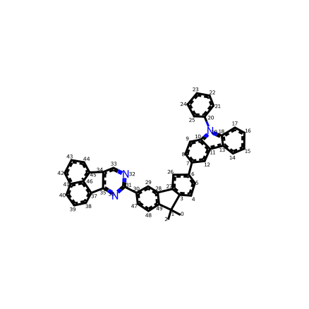 CC1(C)c2ccc(-c3ccc4c(c3)c3ccccc3n4-c3ccccc3)cc2-c2cc(-c3ncc4c(n3)-c3cccc5cccc-4c35)ccc21